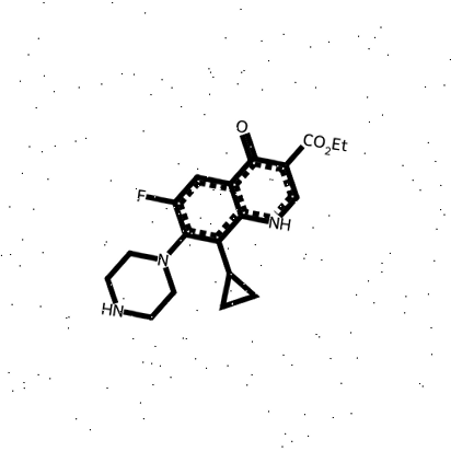 CCOC(=O)c1c[nH]c2c(C3CC3)c(N3CCNCC3)c(F)cc2c1=O